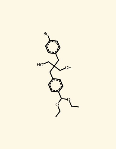 CCOC(OCC)c1ccc(CC(CO)(CO)Cc2ccc(Br)cc2)cc1